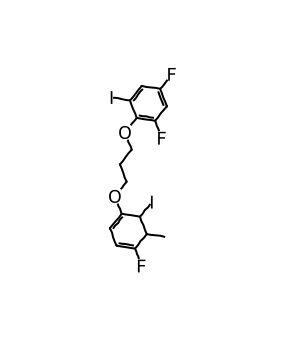 CC1C(F)=CC=C(OCCCOc2c(F)cc(F)cc2I)C1I